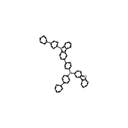 c1ccc(-c2ccc(N(c3ccc(-c4ccc5c(c4)c4ccccc4n5-c4ccc(-c5ccccc5)cc4)cc3)c3ccc4oc5ccccc5c4c3)cc2)cc1